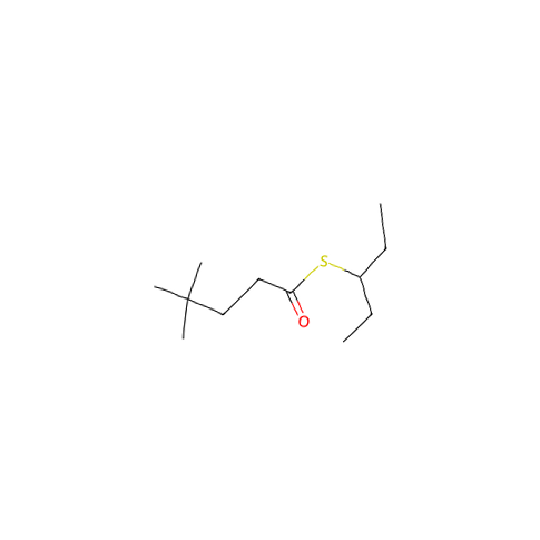 CCC(CC)SC(=O)CCC(C)(C)C